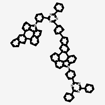 c1ccc(-c2nc(-c3ccccc3)nc(-c3ccc(-n4c5cccc6c5c5c7c(cccc7ccc54)-c4cc5cc(-c7ccc(-c8nc(-c9ccccc9)nc(-c9cccc(-n%10c%11cccc%12c%11c%11c%13c(cccc%13ccc%11%10)-c%10cc%11ccccc%11cc%10-%12)c9)n8)cc7)ccc5cc4-6)cc3)n2)cc1